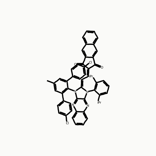 Cc1cc(-c2ccc(Cl)cc2)c(N2/C(=C/C=C3C(=O)c4cc5ccccc5cc4C3=O)N(c3c(C(C)C)cccc3C(C)C)c3nc4ccccc4nc32)c(-c2ccc(Cl)cc2)c1